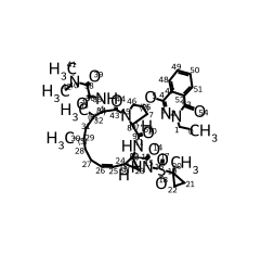 CCn1nc(O[C@@H]2C[C@H]3C(=O)N[C@]4(C(=O)NS(=O)(=O)C5(C)CC5)C[C@H]4C=CCC[C@H](C)C[C@@H](C)[C@H](NC(=O)C(=O)N(C)C)C(=O)N3C2)c2ccccc2c1=O